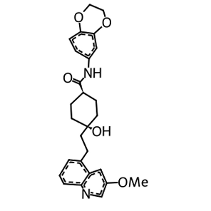 COc1cnc2cccc(CC[C@]3(O)CC[C@@H](C(=O)Nc4ccc5c(c4)OCCO5)CC3)c2c1